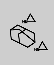 C1C2CC3CC1CC(C2)C3.C1CN1.C1CN1